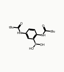 CC(C)(C)C(=O)Nc1ccc(NC(=O)C(C)(C)C)c(B(O)O)c1